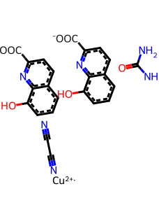 N#CC#N.NC(N)=O.O=C([O-])c1ccc2cccc(O)c2n1.O=C([O-])c1ccc2cccc(O)c2n1.[Cu+2]